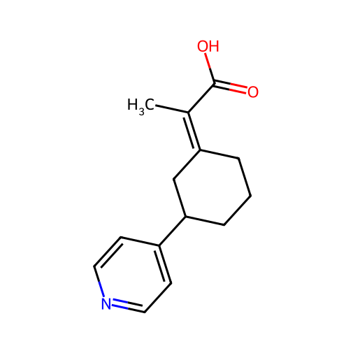 C/C(C(=O)O)=C1/CCCC(c2ccncc2)C1